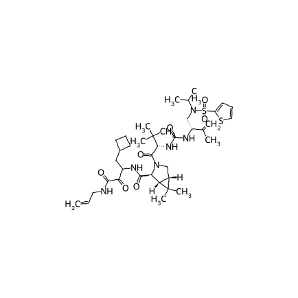 C=CCNC(=O)C(=O)C(CC1CCC1)NC(=O)[C@@H]1[C@@H]2[C@H](CN1C(=O)[C@@H](NC(=O)N[C@H](CN(C(C)C)S(=O)(=O)c1cccs1)C(=C)C)C(C)(C)C)C2(C)C